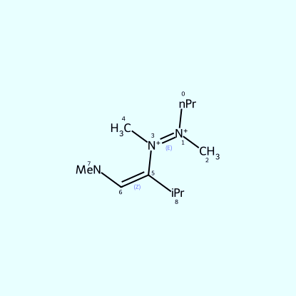 CCC/[N+](C)=[N+](C)/C(=C\NC)C(C)C